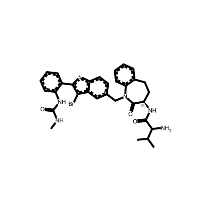 CNC(=O)Nc1ccccc1-c1sc2ccc(CN3C(=O)[C@H](NC(=O)C(N)C(C)C)CCc4ccccc43)cc2c1Br